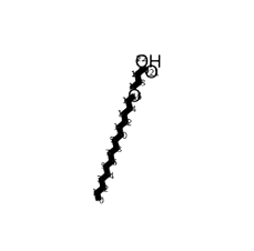 CCCCCCCCCCCCCCCCOCCCC(=O)O